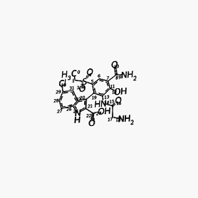 CCS(=O)(=O)c1cc(C(N)=O)c(O)c(NC(=O)CN)c1-c1c(C(=O)O)[nH]c2ccc(Cl)cc12